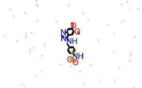 COc1cc2ncnc(NCc3ccc(N[SH](=O)=O)cc3)c2cc1OC